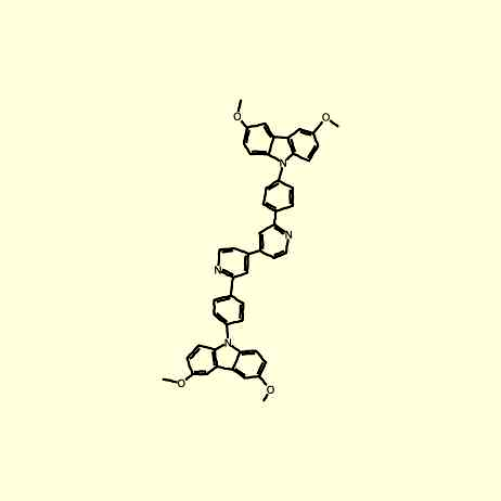 COc1ccc2c(c1)c1cc(OC)ccc1n2-c1ccc(-c2cc(-c3ccnc(-c4ccc(-n5c6ccc(OC)cc6c6cc(OC)ccc65)cc4)c3)ccn2)cc1